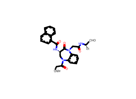 CC[C@@H](C=O)NC(=O)CN1C(=O)[C@@H](NC(=O)c2cccc3ccccc23)CN(C(=O)COC)c2ccccc21